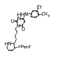 CCCCCC1C=CCNC1CCCCn1c(=O)cc(Nc2ccc(C)c(CC)c2)[nH]c1=O